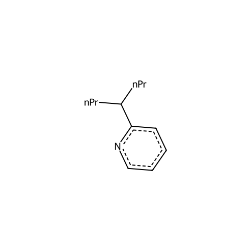 CCCC(CCC)c1ccccn1